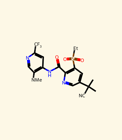 CCS(=O)(=O)c1cc(C(C)(C)C#N)cnc1C(=O)Nc1cc(C(F)(F)F)ncc1NC